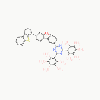 Bc1c(B)c(B)c(-c2nc(-c3ccc4oc5cc(-c6cccc7c6sc6ccccc67)ccc5c4c3)nc(-c3c(B)c(B)c(B)c(B)c3B)n2)c(B)c1B